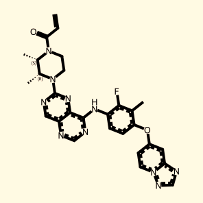 C=CC(=O)N1CCN(c2ncc3ncnc(Nc4ccc(Oc5ccn6ncnc6c5)c(C)c4F)c3n2)[C@H](C)[C@@H]1C